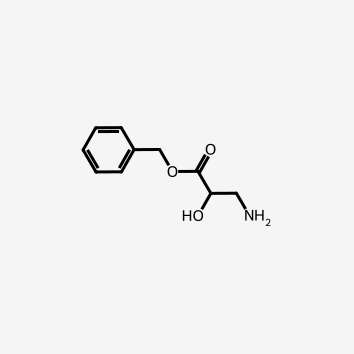 NCC(O)C(=O)OCc1ccccc1